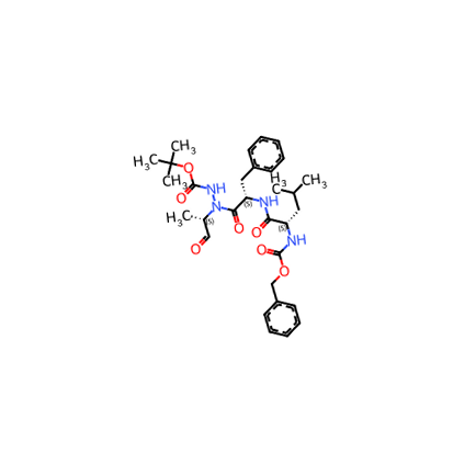 CC(C)C[C@H](NC(=O)OCc1ccccc1)C(=O)N[C@@H](Cc1ccccc1)C(=O)N(NC(=O)OC(C)(C)C)[C@@H](C)C=O